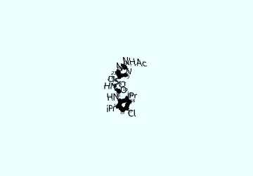 CC(=O)Nc1ncc(S(=O)(=O)NC(=O)Nc2c(C(C)C)cc(Cl)cc2C(C)C)cn1